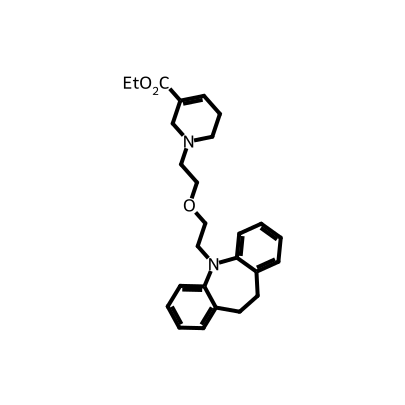 CCOC(=O)C1=CCCN(CCOCCN2c3ccccc3CCc3ccccc32)C1